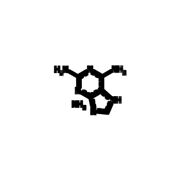 N.Nc1nc(N)c2[nH]cnc2n1